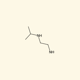 CC(C)NCC[NH]